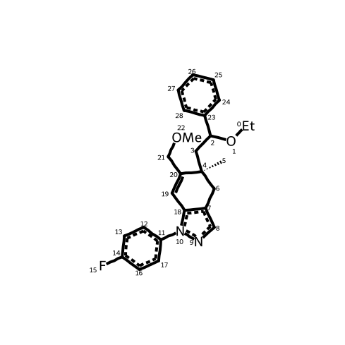 CCOC(C[C@@]1(C)Cc2cnn(-c3ccc(F)cc3)c2C=C1COC)c1ccccc1